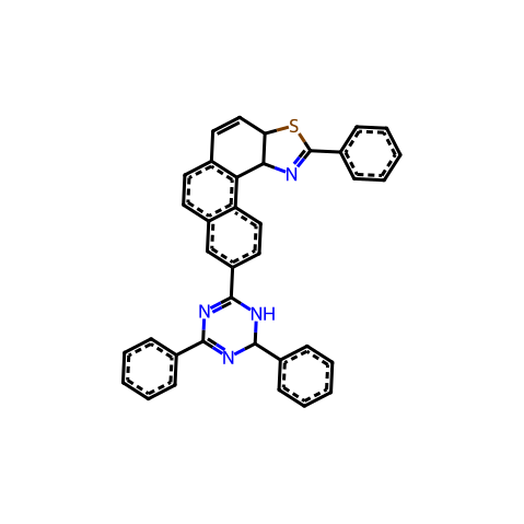 C1=CC2SC(c3ccccc3)=NC2c2c1ccc1cc(C3=NC(c4ccccc4)=NC(c4ccccc4)N3)ccc21